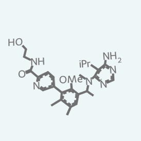 COc1c(C(C)N(C)c2ncnc(N)c2C(C)C)cc(C)c(C)c1-c1ccc(C(=O)NCCO)nc1